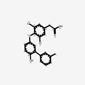 Cc1cccc(-c2cc(Oc3c(Cl)cc(CC(=O)O)cc3Cl)ccc2O)c1